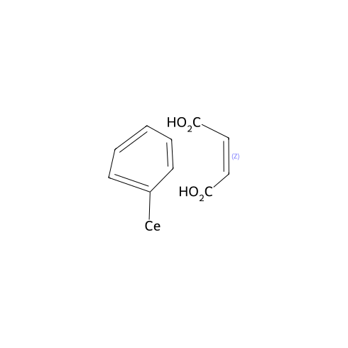 O=C(O)/C=C\C(=O)O.[Ce][c]1ccccc1